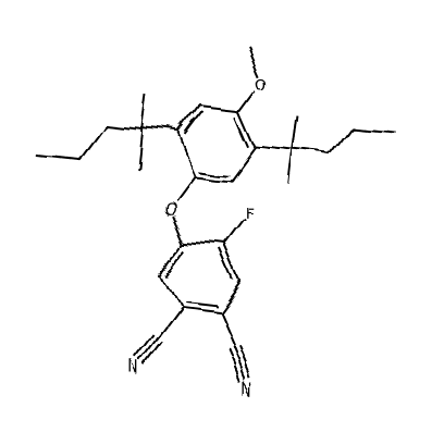 CCCC(C)(C)c1cc(Oc2cc(C#N)c(C#N)cc2F)c(C(C)(C)CCC)cc1OC